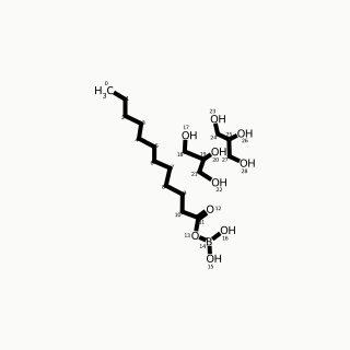 CCCCCCCCCCCC(=O)OB(O)O.OCC(O)CO.OCC(O)CO